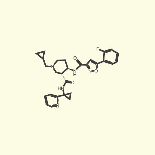 O=C(N[C@@H]1CCN(CC2CC2)C[C@H]1C(=O)NC1(c2ccccn2)CC1)c1cc(-c2ccccc2F)on1